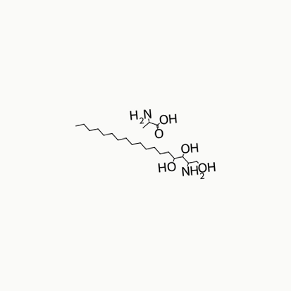 CC(N)C(=O)O.CCCCCCCCCCCCCCC(O)C(O)C(N)CO